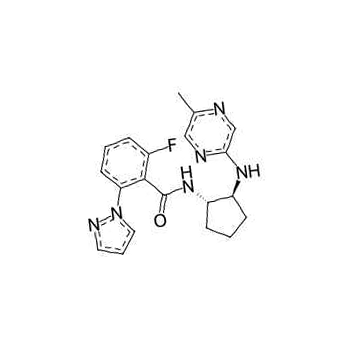 Cc1cnc(N[C@H]2CCC[C@@H]2NC(=O)c2c(F)cccc2-n2cccn2)cn1